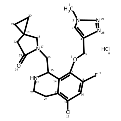 Cl.Cn1cc(COc2c(F)cc(Cl)c3c2C(CN2CC4(CC4)CC2=O)NCC3)nn1